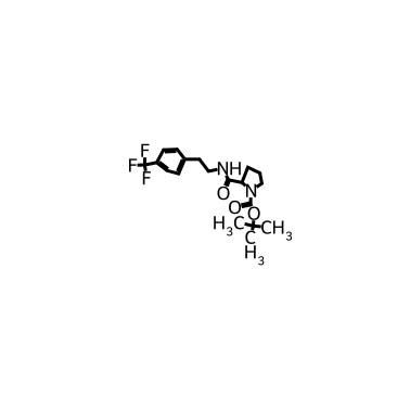 CC(C)(C)OC(=O)N1CCCC1C(=O)NCCc1ccc(C(F)(F)F)cc1